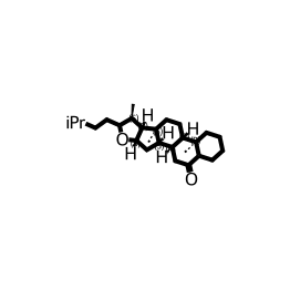 CC(C)CCC1O[C@H]2C[C@H]3[C@@H]4CC(=O)C5CCCC[C@]5(C)[C@H]4CC[C@]3(C)[C@H]2[C@@H]1C